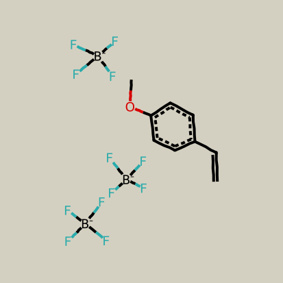 C=Cc1ccc(OC)cc1.F[B-](F)(F)F.F[B-](F)(F)F.F[B-](F)(F)F